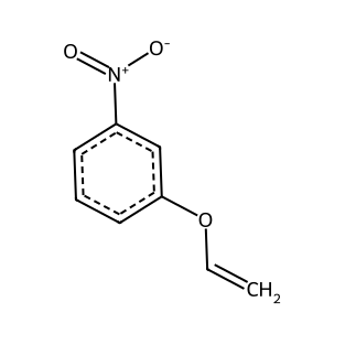 C=COc1cccc([N+](=O)[O-])c1